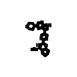 CCCC[C@H](NC(=O)c1ncc(-c2c[nH]c3ncc(N4CCOCC4)cc23)cn1)c1ccccc1